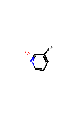 N#Cc1cccnc1.O